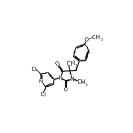 COc1ccc(CC2(C)C(=O)N(c3cc(Cl)nc(Cl)c3)C(=O)N2C)cc1